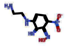 N=C1C(NCCN)=CC=C([N+](=O)[O-])/C1=N/O